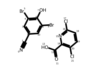 N#Cc1cc(Br)c(O)c(Br)c1.O=C(O)c1nc(Cl)ccc1Cl